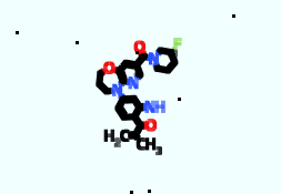 C=C(C)C(=O)C1C=CC(N2CCCOc3cc(C(=O)N4CCC[C@@H](F)C4)cnc32)=CC1=N